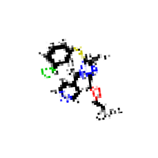 CC(=O)OCCOCc1nc(C(C)C)c(Sc2cccc(Cl)c2)n1Cc1ccncc1